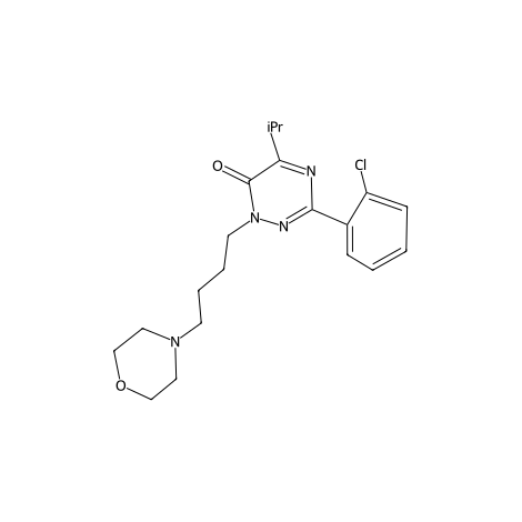 CC(C)c1nc(-c2ccccc2Cl)nn(CCCCN2CCOCC2)c1=O